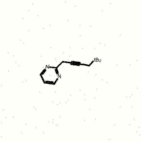 CC(C)(C)CC#CCc1ncccn1